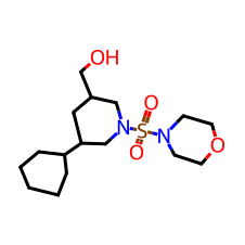 O=S(=O)(N1CCOCC1)N1CC(CO)CC(C2CCCCC2)C1